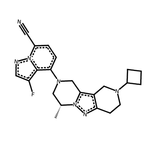 C[C@@H]1CN(c2ccc(C#N)n3ncc(F)c23)Cc2c3c(nn21)CCN(C1CCC1)C3